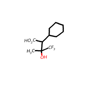 CC(O)(C(C(=O)O)C1CCCCC1)C(F)(F)F